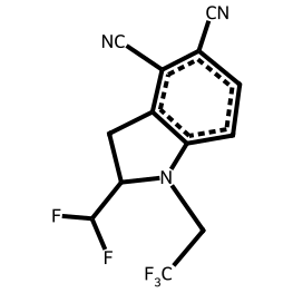 N#Cc1ccc2c(c1C#N)CC(C(F)F)N2CC(F)(F)F